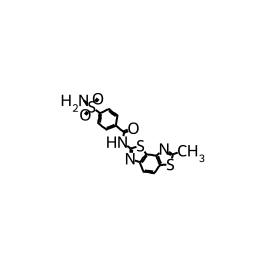 Cc1nc2c(ccc3nc(NC(=O)c4ccc(S(N)(=O)=O)cc4)sc32)s1